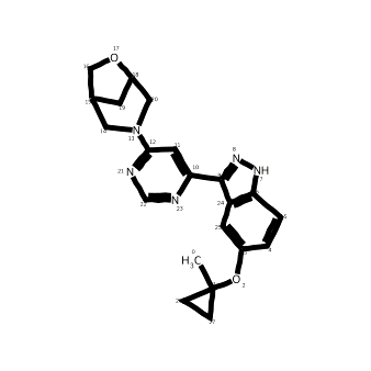 CC1(Oc2ccc3[nH]nc(-c4cc(N5CC6COC(C6)C5)ncn4)c3c2)CC1